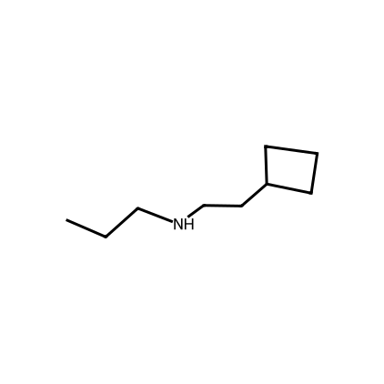 CCCNCCC1CCC1